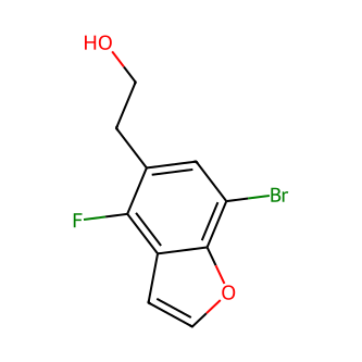 OCCc1cc(Br)c2occc2c1F